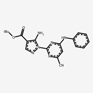 CC(C)(C)OC(=O)c1cnn(-c2nc(C#N)cc(Nc3ccccc3)n2)c1N